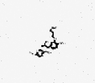 CCOC1=N[C@H](C[C@H](Cc2ccc(OC)c(OCCCOC)c2)C(C)C)C(OCC)=NC1